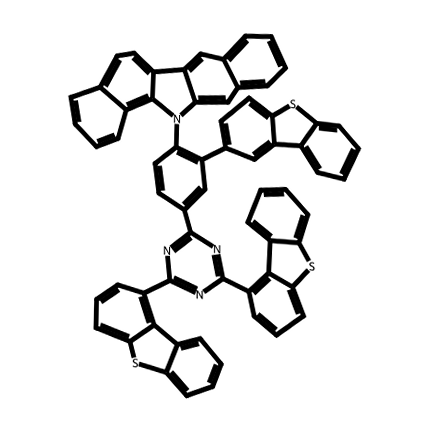 c1ccc2cc3c(cc2c1)c1ccc2ccccc2c1n3-c1ccc(-c2nc(-c3cccc4sc5ccccc5c34)nc(-c3cccc4sc5ccccc5c34)n2)cc1-c1ccc2sc3ccccc3c2c1